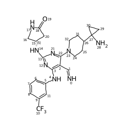 N=Cc1c(Nc2cccc(C(F)(F)F)c2)nc(N[C@@H]2CNC(=O)C2)nc1N1CCC(C2(N)CC2)CC1